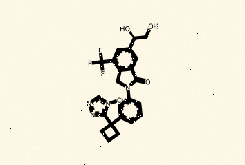 Cn1cnnc1C1(c2cccc(N3Cc4c(cc([C@@H](O)CO)cc4C(F)(F)F)C3=O)c2)CCC1